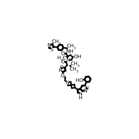 Cc1ncsc1-c1ccc([C@H](C)NC(=O)C2(C)C[C@@H](O)CN2C(=O)[C@@H](c2cc(OCCN3CC4(CC(c5c[nH]c6nnc(-c7ccccc7O)cc56)C4)C3)no2)C(C)C)cc1